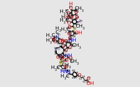 CCN(C(C)=O)[C@H]1CO[C@@H](O[C@H]2[C@H](O[C@H]3C#C/C=C/C#C[C@]4(O)CC(=O)C(NC(=O)OC)=C3/C4=C/CSSC(C)(C)CC(=O)N/N=C(\C)c3ccc(OCCCC(=O)O)cc3)O[C@H](C)[C@@H](NO[C@H]3C[C@H](O)[C@H](SC(=O)c4c(C)c(I)c(O[C@@H]5O[C@@H](C)[C@H](O)[C@@H](OC)[C@H]5O)c(OC)c4OC)[C@@H](C)O3)[C@H]2O)C[C@@H]1OC